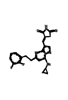 O=C1C/C(=C\c2cnn3c(NC4CC4)cc(CCc4cccc(F)c4F)nc23)C(=O)N1